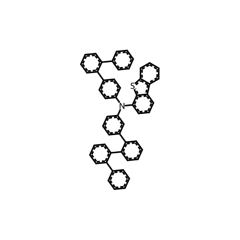 c1ccc(-c2ccccc2-c2ccc(N(c3cccc(-c4ccccc4-c4ccccc4-c4ccccc4)c3)c3cccc4c3sc3ccccc34)cc2)cc1